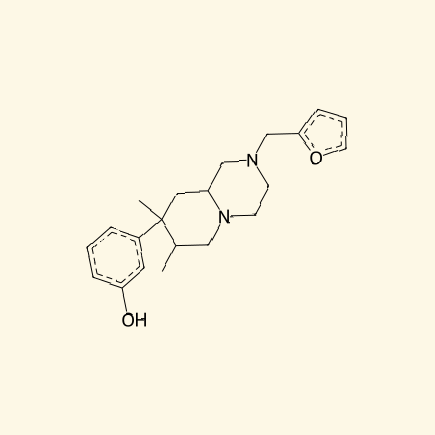 CC1CN2CCN(Cc3ccco3)CC2CC1(C)c1cccc(O)c1